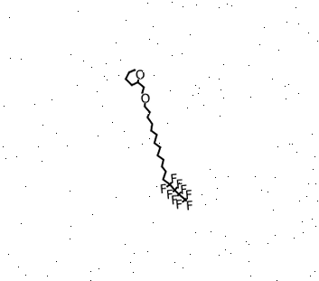 FC(F)(F)C(F)(F)C(F)(F)C(F)(F)CCCCCCCCCCCCCOCCC1CCCCO1